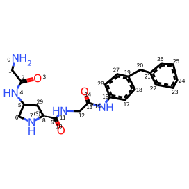 NCC(=O)NC1CN[C@H](C(=O)NCC(=O)Nc2ccc(Cc3ccccc3)cc2)C1